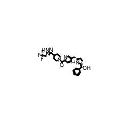 O=C(c1ccc(C[C@@H]2CC[C@H]([C@H](O)c3ccccc3)N2)cn1)N1CCC(c2n[nH]n2CC(F)(F)F)CC1